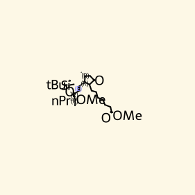 CCC[C@@](C)(OC)[C@@H](/C=C/[C@@H]1C(CCCCCCC(=O)OC)C(=O)C[C@H]1C)O[Si](C)(C)C(C)(C)C